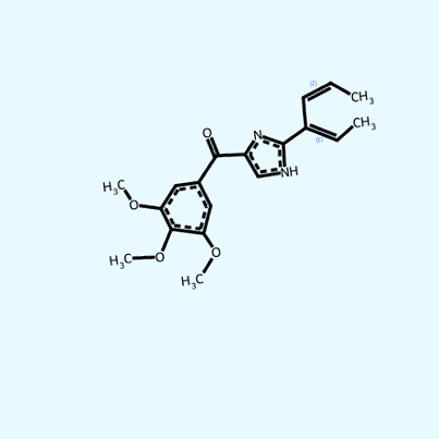 C/C=C\C(=C/C)c1nc(C(=O)c2cc(OC)c(OC)c(OC)c2)c[nH]1